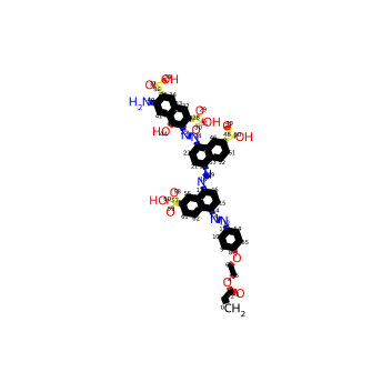 C=CC(=O)OCCOc1ccc(/N=N/c2ccc(/N=N/c3ccc(/N=N/c4c(S(=O)(=O)O)cc5cc(S(=O)O)c(N)cc5c4O)c4cc(S(=O)O)ccc34)c3cc(S(=O)(=O)O)ccc23)cc1